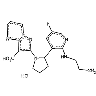 Cl.NCCNc1ncc(F)cc1C1CCCN1c1nn2cccnc2c1C(=O)O